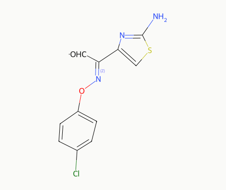 Nc1nc(/C([C]=O)=N/Oc2ccc(Cl)cc2)cs1